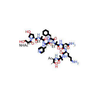 CC[C@](C)(NC(=O)[C@H](CC1CCCCC1)NC(=O)[C@H](Cc1ccncc1)NC(=O)[C@](C)(CC)NC(=O)[C@H]1C[C@H](O)CN1C(=O)[C@H](CO)NC(C)=O)C(=O)N[C@@H](CC(N)=O)C(=O)N[C@@H](CCCCN)C(=O)NC(C)(C)C(=O)N[C@H](C(C)=O)[C@@H](C)O